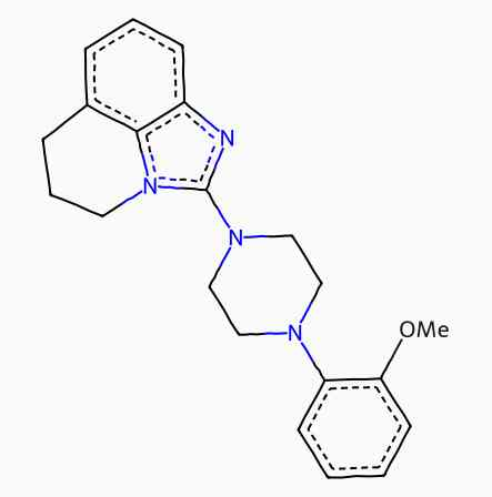 COc1ccccc1N1CCN(c2nc3cccc4c3n2CCC4)CC1